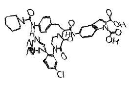 O=C(O)c1cc2cc(NC(=O)C(Cc3ccc(NC(=O)N4CCCCC4)cc3)N3CCN(c4cc(Cl)ccc4-n4cnnn4)C(=O)C3=O)ccc2n1C(=O)O